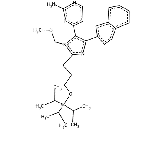 COCn1c(CCCO[Si](C(C)C)(C(C)C)C(C)C)nc(-c2ccc3ccccc3c2)c1-c1ccnc(N)n1